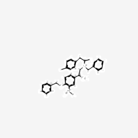 Cc1ccc(CC(C)N(Cc2ccccc2)CC(O)c2ccc(OCc3ccccc3)c([N+](=O)[O-])c2)cc1